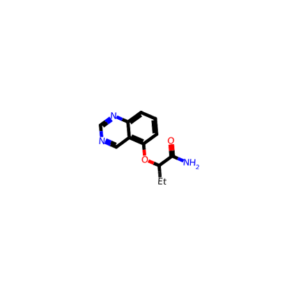 CCC(Oc1cccc2ncncc12)C(N)=O